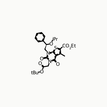 CCOC(=O)c1sc2c(c1C)c(=O)n(CC(=O)OC(C)(C)C)c(=O)n2C[C@H](OC(C)C)c1ccccc1